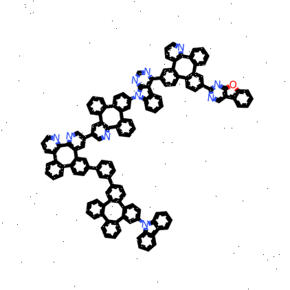 c1cc(-c2ccc3c(c2)-c2ccccc2-c2ccccc2-c2cc(-n4c5ccccc5c5ccccc54)ccc2-3)cc(-c2ccc3c(c2)-c2cc(-c4cnc5c(c4)-c4ccccc4-c4ccc(-n6c7ccccc7c7c(-c8ccc9c(c8)-c8cccnc8-c8ccccc8-c8cc(-c%10ncc%11c(n%10)oc%10ccccc%10%11)ccc8-9)ncnc76)cc4-c4ccccc4-5)cnc2-c2ncccc2-c2ccccc2-3)c1